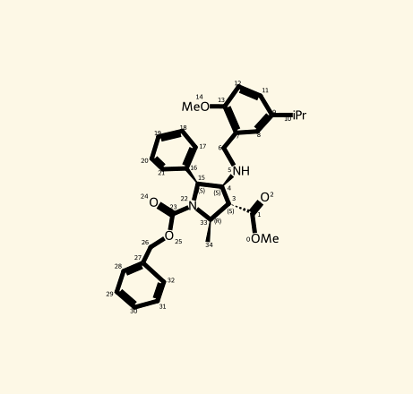 COC(=O)[C@H]1[C@H](NCc2cc(C(C)C)ccc2OC)[C@H](c2ccccc2)N(C(=O)OCc2ccccc2)[C@@H]1C